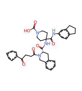 O=C(CCC(=O)N1Cc2ccccc2C[C@H]1C(=O)NC1(C(=O)Nc2ccc3c(c2)CCC3)CCN(C(=O)O)CC1)c1ccccc1